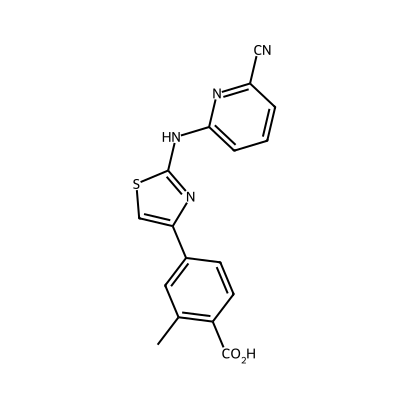 Cc1cc(-c2csc(Nc3cccc(C#N)n3)n2)ccc1C(=O)O